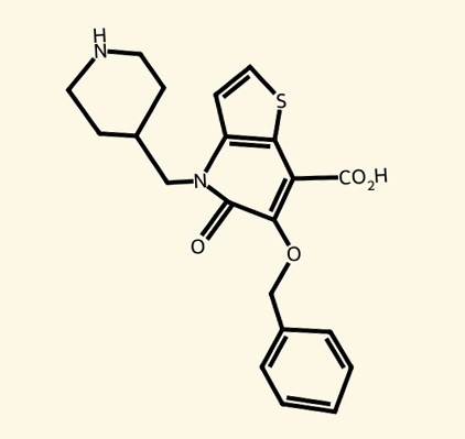 O=C(O)c1c(OCc2ccccc2)c(=O)n(CC2CCNCC2)c2ccsc12